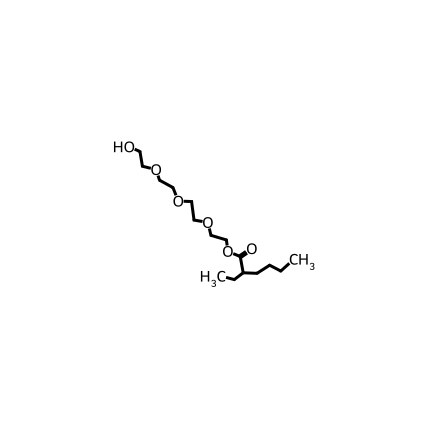 CCCCC(CC)C(=O)OCCOCCOCCOCCO